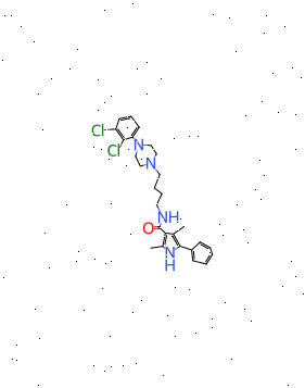 Cc1[nH]c(-c2ccccc2)c(C)c1C(=O)NCCCCN1CCN(c2cccc(Cl)c2Cl)CC1